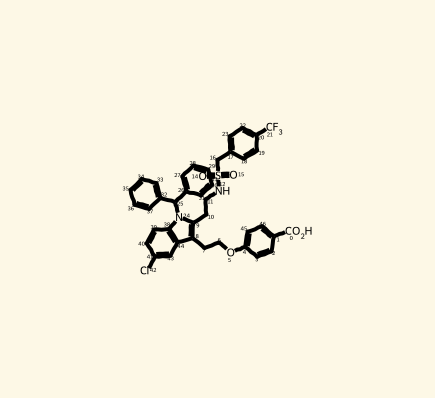 O=C(O)c1ccc(OCCc2c(CCNS(=O)(=O)Cc3ccc(C(F)(F)F)cc3)n(C(c3ccccc3)c3ccccc3)c3ccc(Cl)cc23)cc1